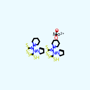 S=C(S)N(N1C=CCC1)N(C(=S)[S-])N1CCCCC1.S=C(S)N(N1C=CCC1)N(C(=S)[S-])N1CCCCC1.[O]=[Mo+2]=[O]